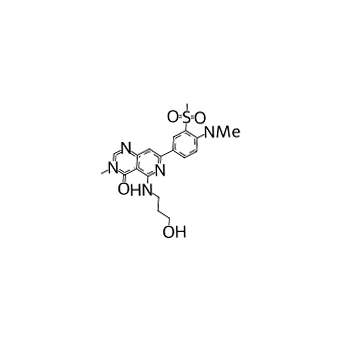 CNc1ccc(-c2cc3ncn(C)c(=O)c3c(NCCCO)n2)cc1S(C)(=O)=O